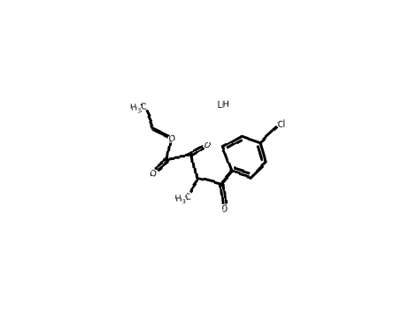 CCOC(=O)C(=O)C(C)C(=O)c1ccc(Cl)cc1.[LiH]